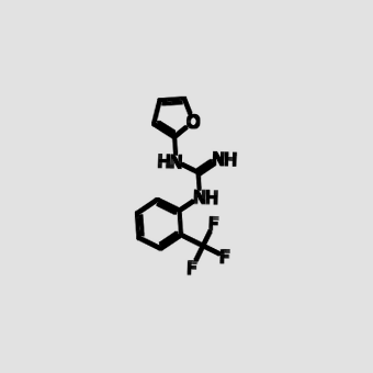 N=C(Nc1ccco1)Nc1ccccc1C(F)(F)F